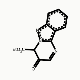 CCOC(=O)C1C(=O)C=Nc2c3ccccc3nn21